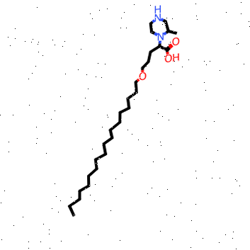 CCCCCCCCCCCCCCCCCCOCCCC(C(=O)O)N1CCNCC1C